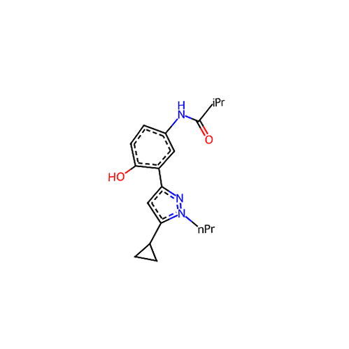 CCCn1nc(-c2cc(NC(=O)C(C)C)ccc2O)cc1C1CC1